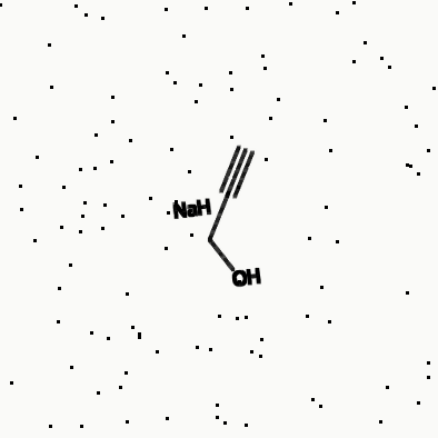 C#CCO.[NaH]